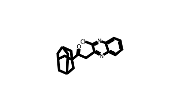 O=C(Cc1nc2ccccc2nc1Cl)C12CC3CC(CC(C3)C1)C2